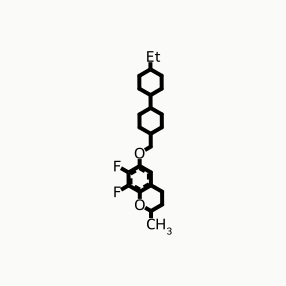 CCC1CCC(C2CCC(COc3cc4c(c(F)c3F)OC(C)CC4)CC2)CC1